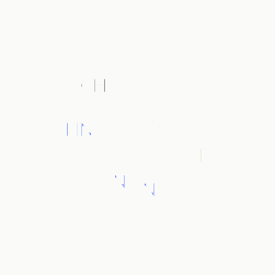 CNc1nnc(F)s1